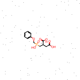 O=C(O)CC(CP(=O)(O)COc1ccccc1)C(=O)O